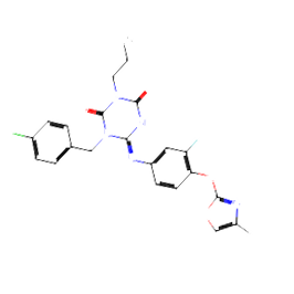 N#CCCn1c(=O)[nH]/c(=N\c2ccc(Oc3nc(C(=O)O)co3)c(F)c2)n(Cc2ccc(Cl)cc2)c1=O